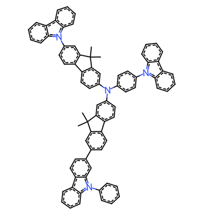 CC1(C)c2cc(-c3ccc4c5ccccc5n(-c5ccccc5)c4c3)ccc2-c2ccc(N(c3ccc(-n4c5ccccc5c5ccccc54)cc3)c3ccc4c(c3)C(C)(C)c3cc(-n5c6ccccc6c6ccccc65)ccc3-4)cc21